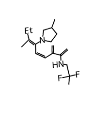 C=C(/C=C\C(=C(/C)CC)N1CCC(C)C1)C(=C)NCC(C)(F)F